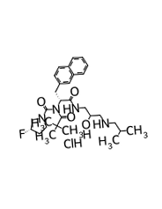 CC(C)CNCC(O)CNC(=O)[C@@H](Cc1ccc2ccccc2c1)N(C(=O)N1CC[C@H](F)C1)C(=O)C(C)(C)C.Cl